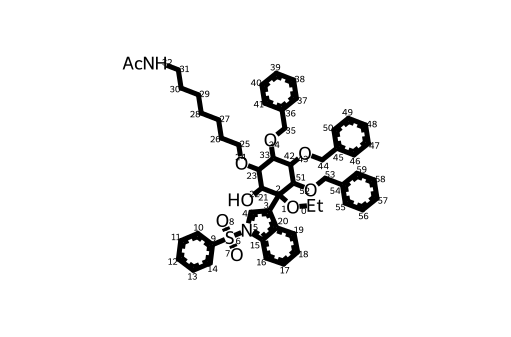 CCOC1(c2cn(S(=O)(=O)c3ccccc3)c3ccccc23)C(O)C(OCCCCCCCNC(C)=O)C(OCc2ccccc2)C(OCc2ccccc2)C1OCc1ccccc1